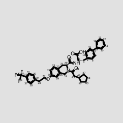 O=C(O)[C@H](Cc1ccc(-c2ccccc2)cc1)NC(=O)[C@@H]1Cc2ccc(OCCc3ccc(C(F)(F)F)cc3)cc2CN1C(=O)CC1CCCC1